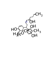 C=CCC[C@H](O)/C=C\CC(c1ccc(O)c(C)c1O)C1C=CC(O)=C(C)C1(C)OCC